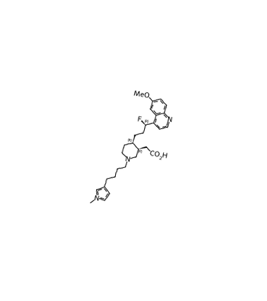 COc1ccc2nccc([C@H](F)CC[C@@H]3CCN(CCCCc4ccn(C)c4)C[C@@H]3CC(=O)O)c2c1